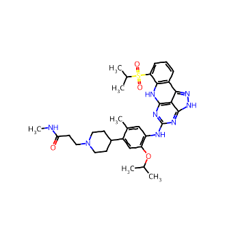 CNC(=O)CCN1CCC(c2cc(OC(C)C)c(Nc3nc4c5c(n[nH]c5n3)-c3cccc(S(=O)(=O)C(C)C)c3N4)cc2C)CC1